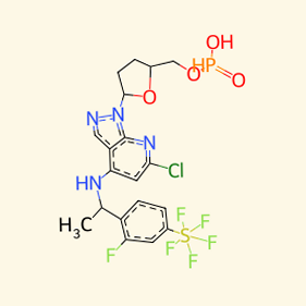 CC(Nc1cc(Cl)nc2c1cnn2C1CCC(CO[PH](=O)O)O1)c1ccc(S(F)(F)(F)(F)F)cc1F